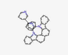 c1ccc(-n2c3ccccc3c3ccc4ccc5c6ccccc6n(-c6cccc(-c7cccnc7)n6)c5c4c32)cc1